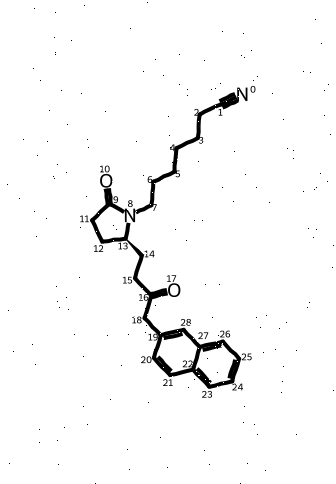 N#CCCCCCCN1C(=O)CC[C@@H]1CCC(=O)Cc1ccc2ccccc2c1